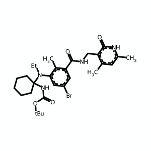 CCN(c1cc(Br)cc(C(=O)NCc2c(C)cc(C)[nH]c2=O)c1C)C1(NC(=O)OC(C)(C)C)CCCCC1